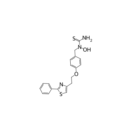 NC(=S)N(O)Cc1ccc(OCCc2csc(-c3ccccc3)n2)cc1